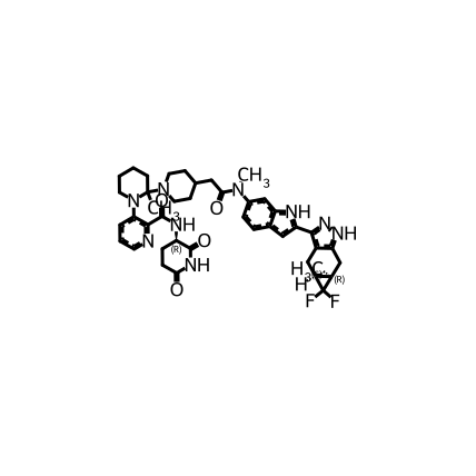 CN(C(=O)CC1CCN(C2(C)CCCCN2c2cccnc2C(=O)N[C@@H]2CCC(=O)NC2=O)CC1)c1ccc2cc(-c3n[nH]c4c3C[C@@H]3C(F)(F)[C@]3(C)C4)[nH]c2c1